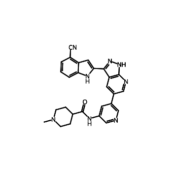 CN1CCC(C(=O)Nc2cncc(-c3cnc4[nH]nc(-c5cc6c(C#N)cccc6[nH]5)c4c3)c2)CC1